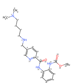 CN(C)CCCCNCc1ccc(C(=O)Nc2ccccc2NC(=O)OC(C)(C)C)nc1